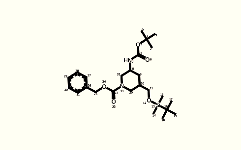 CC(C)(C)OC(=O)NC1CC(CO[Si](C)(C)C(C)(C)C)CN(C(=O)OCc2ccccc2)C1